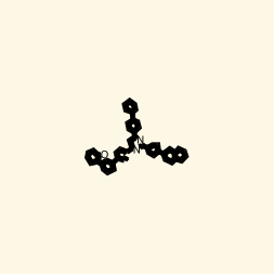 c1ccc(-c2ccc(-c3cc(-c4ccc(-c5cccc6c5oc5ccccc56)cc4)nc(-c4ccc(-c5ccc6ccccc6c5)cc4)n3)cc2)cc1